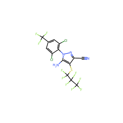 N#Cc1nn(-c2c(Cl)cc(C(F)(F)F)cc2Cl)c(N)c1SC(F)(F)C(F)(F)C(F)(F)F